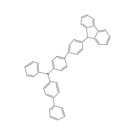 c1ccc(-c2ccc(N(c3ccccc3)c3ccc(-c4ccc(C5c6ccccc6-c6ccccc65)cc4)cc3)cc2)cc1